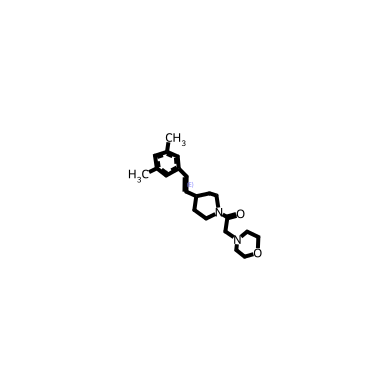 Cc1cc(C)cc(/C=C/C2CCN(C(=O)CN3CCOCC3)CC2)c1